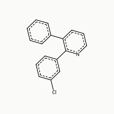 Clc1cccc(-c2ncccc2-c2ccccc2)c1